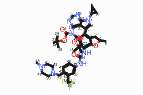 CC1Cc2c(-c3cn(C4CC4)c4ncnc(N(C(=O)OC(C)(C)C)C(=O)OC(C)(C)C)c34)ccc(NC(=O)Nc3ccc(CN4CCN(C)CC4)c(C(F)(F)F)c3)c2O1